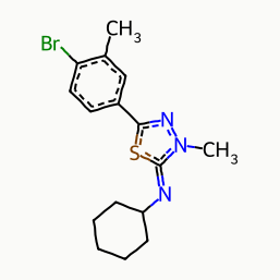 Cc1cc(-c2nn(C)c(=NC3CCCCC3)s2)ccc1Br